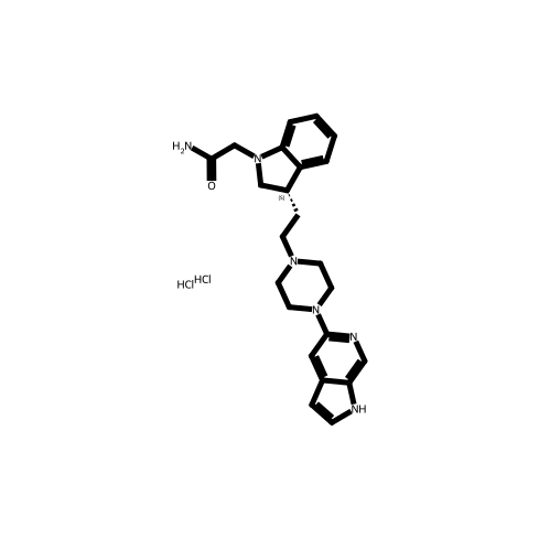 Cl.Cl.NC(=O)CN1C[C@@H](CCN2CCN(c3cc4cc[nH]c4cn3)CC2)c2ccccc21